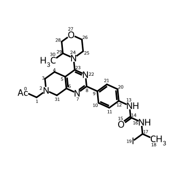 CC(=O)CN1CCc2c(nc(-c3ccc(NC(=O)NC(C)I)cc3)nc2N2CCOCC2C)C1